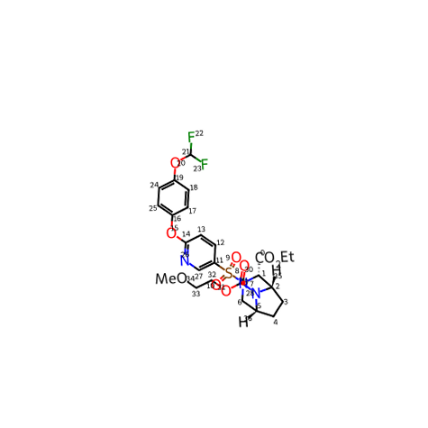 CCOC(=O)[C@@H]1[C@@H]2CC[C@H](CN1S(=O)(=O)c1ccc(Oc3ccc(OC(F)F)cc3)nc1)N2C(=O)OCCOC